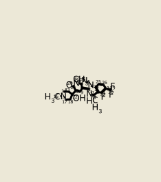 C[C@@H](Nc1ncnc2c1cc(C1(O)CCN(C)CC1)c(=O)n2C)c1cccc(C(F)F)c1F